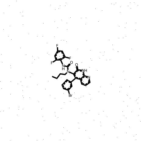 CCCCN(C(=O)Nc1c(F)cc(F)cc1F)c1c(-c2cccc(Br)c2)c2cccnc2[nH]c1=O